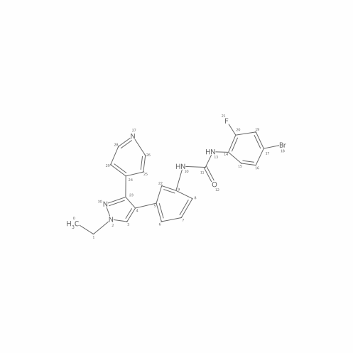 CCn1cc(-c2cccc(NC(=O)Nc3ccc(Br)cc3F)c2)c(-c2ccncc2)n1